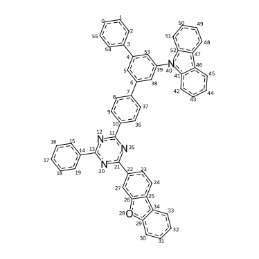 c1ccc(-c2cc(-c3ccc(-c4nc(-c5ccccc5)nc(-c5ccc6c(c5)oc5ccccc56)n4)cc3)cc(-n3c4ccccc4c4ccccc43)c2)cc1